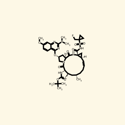 COc1ccc2c(O[C@@H]3C[C@H]4C(=O)N[C@]5(C(=O)NS(=O)(=O)C6(CF)CC6)C[C@H]5/C=C\CC[C@H](C)C[C@@H](C)[C@H](NC(=O)OC(C)(C)C)C(=O)N4C3)nc(N(C)C)nc2c1